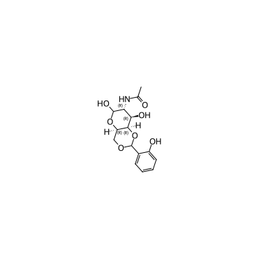 CC(=O)N[C@H]1C(O)O[C@@H]2COC(c3ccccc3O)O[C@@H]2[C@@H]1O